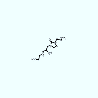 C=CCOCC(O)CN1CCN(CCN)C1=O